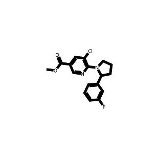 COC(=O)c1cnc(N2CCCC2c2cccc(F)c2)c(Cl)c1